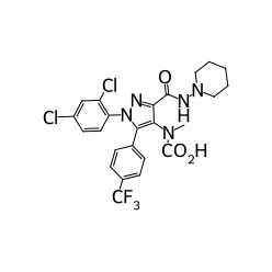 CN(C(=O)O)c1c(C(=O)NN2CCCCC2)nn(-c2ccc(Cl)cc2Cl)c1-c1ccc(C(F)(F)F)cc1